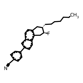 CCCCCCC[C@H]1Cc2ccc3cc(-c4ccc(C#N)cc4)ccc3c2C[C@@H]1F